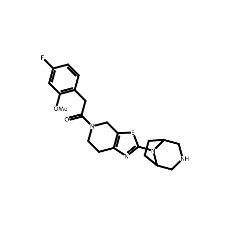 COc1cc(F)ccc1CC(=O)N1CCc2nc(N3C4CCC3CNC4)sc2C1